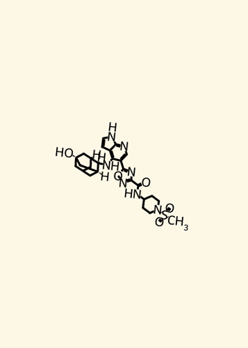 CS(=O)(=O)N1CCC(NC(=O)c2noc(-c3cnc4[nH]ccc4c3N[C@H]3[C@@H]4CC5C[C@H]3C[C@@](O)(C5)C4)n2)CC1